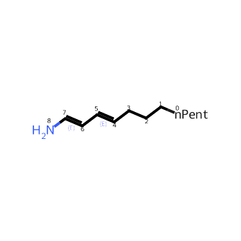 CCCCCCCC/C=C/C=C/N